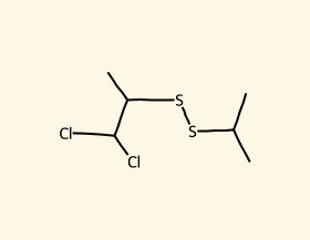 CC(C)SSC(C)C(Cl)Cl